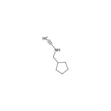 C#CNCC1CCCC1